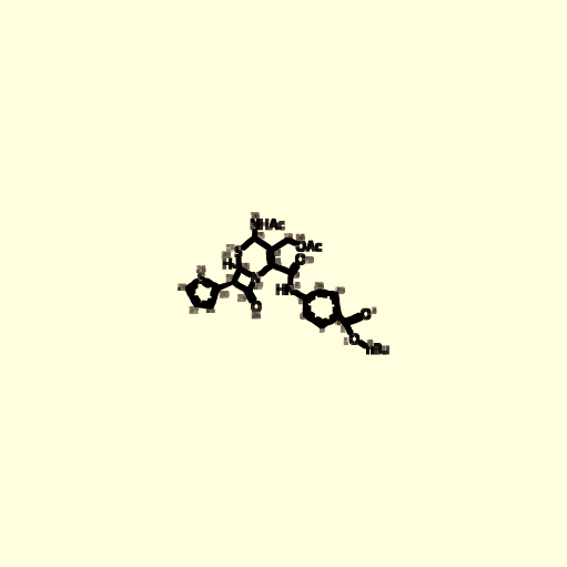 CCCCOC(=O)c1ccc(NC(=O)C2=C(COC(C)=O)C(NC(C)=O)S[C@@H]3[C@H](c4cccs4)C(=O)N23)cc1